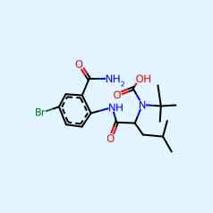 CC(C)CC(C(=O)Nc1ccc(Br)cc1C(N)=O)N(C(=O)O)C(C)(C)C